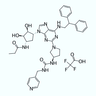 CCC(=O)N[C@H]1C[C@@H](n2cnc3c(NCC(c4ccccc4)c4ccccc4)nc(N4CC[C@@H](NC(=O)NCc5ccncc5)C4)nc32)[C@H](O)[C@@H]1O.O=C(O)C(F)(F)F